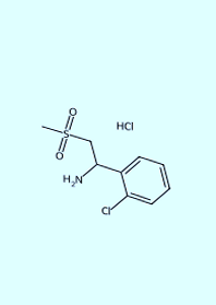 CS(=O)(=O)CC(N)c1ccccc1Cl.Cl